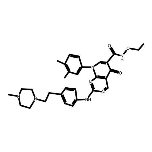 CCONC(=O)c1cn(-c2ccc(C)c(C)c2)c2nc(Nc3ccc(CCN4CCN(C)CC4)cc3)ncc2c1=O